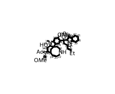 CC/C=C/C(CC)C[C@](C=O)(c1cc2c(cc1OC)N(C)C1C23CCNC/C=C\[C@](C)(C3)C([SH](#COC)C(C)=O)[C@@]1(C)O)c1[nH]c2ccccc2c1CCC